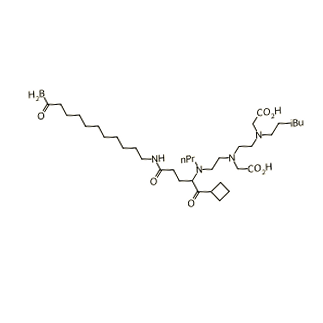 BC(=O)CCCCCCCCCCNC(=O)CCC(C(=O)C1CCC1)N(CCC)CCN(CCN(CCC(C)CC)CC(=O)O)CC(=O)O